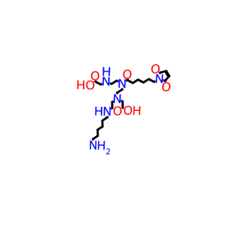 NCCCCCCNCCN(CCN(CCNCC(=O)O)C(=O)CCCCCN1C(=O)C=CC1=O)CC(=O)O